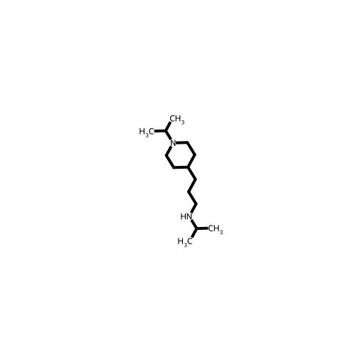 CC(C)NCCCC1CCN(C(C)C)CC1